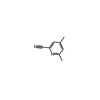 Cc1[c]c(C)nc(C#N)c1